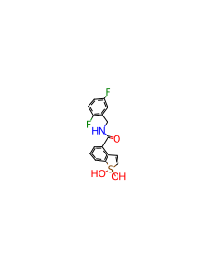 O=C(NCc1cc(F)ccc1F)c1cccc2c1C=CS2(O)O